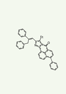 CCc1c(/C=C(\Cc2ccccc2)c2ccccc2)nc2c3cccc4c(-c5ccccc5)ccc(c(=O)n12)c43